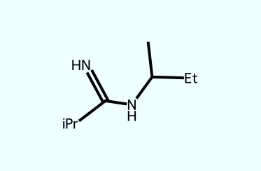 CCC(C)NC(=N)C(C)C